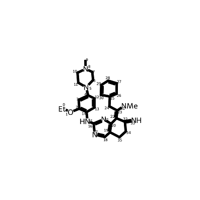 CCOc1cc(N2CCN(C)CC2)ccc1Nc1ncc2c(n1)/C(=C(\Cc1ccccc1)NC)C(=N)CC2